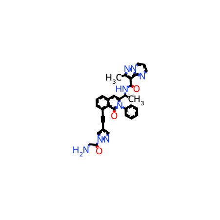 Cc1nn2cccnc2c1C(=O)NC(C)c1cc2cccc(C#Cc3cnn(C(=O)CN)c3)c2c(=O)n1-c1ccccc1